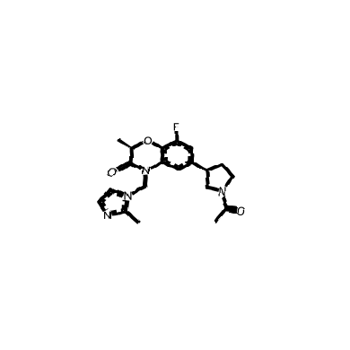 CC(=O)N1CCC(c2cc(F)c3c(c2)N(Cn2ccnc2C)C(=O)[C@@H](C)O3)C1